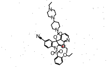 CCOc1ccccc1S(=O)(=O)N1C(=O)C(OC(=O)N2CCC(N3CCN(CC)CC3)CC2)(c2cccnc2OCC)c2cc(C#N)ccc21